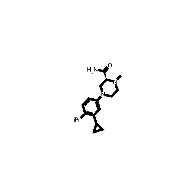 CC(C)c1ccc(N2CCN(C)[C@H](C(N)=O)C2)cc1C1CC1